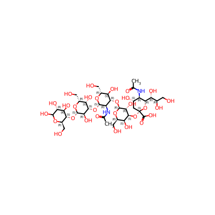 CC(=O)N[C@H]1[C@H](O[C@H]2[C@@H](O)[C@@H](CO)O[C@@H](O[C@H]3[C@H](O)[C@@H](O)C(O)O[C@@H]3CO)[C@@H]2O)O[C@H](CO)[C@@H](O)[C@@H]1O[C@@H]1O[C@H](CO)[C@H](O)[C@H](O[C@]2(C(=O)O)C[C@H](O)[C@@H](NC(C)=O)[C@H]([C@H](O)[C@H](O)CO)O2)[C@H]1O